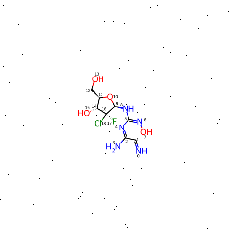 N=C/C(N)=N\C(=N/O)N[C@@H]1O[C@H](CO)[C@@H](O)[C@]1(F)Cl